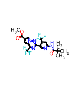 COC(=O)c1cc2c(C(F)(F)F)nc(-c3cnc(NC(=O)C(C)(C)C)cc3C(F)(F)F)nn2c1